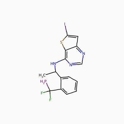 CC(Nc1ncnc2cc(I)sc12)c1ccccc1C(F)(F)P